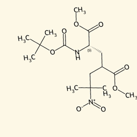 COC(=O)C(C[C@H](NC(=O)OC(C)(C)C)C(=O)OC)CC(C)(C)[N+](=O)[O-]